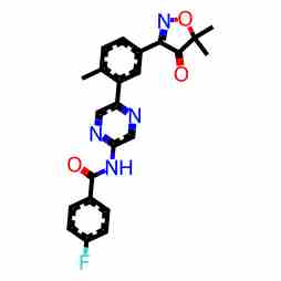 Cc1ccc(C2=NOC(C)(C)C2=O)cc1-c1cnc(NC(=O)c2ccc(F)cc2)cn1